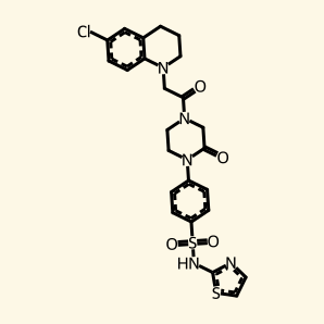 O=C(CN1CCCc2cc(Cl)ccc21)N1CCN(c2ccc(S(=O)(=O)Nc3nccs3)cc2)C(=O)C1